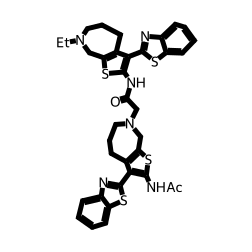 CCN1CCCc2c(sc(NC(=O)CN3CCCc4c(sc(NC(C)=O)c4-c4nc5ccccc5s4)C3)c2-c2nc3ccccc3s2)C1